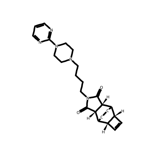 O=C1[C@@H]2C3CCC([C@H]4C=C[C@@H]34)[C@@H]2C(=O)N1CCCCN1CCN(c2ncccn2)CC1